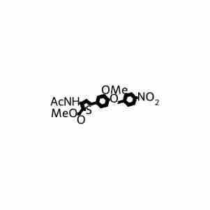 COC(=O)c1sc(-c2ccc(OCc3ccc([N+](=O)[O-])cc3)c(OC)c2)cc1NC(C)=O